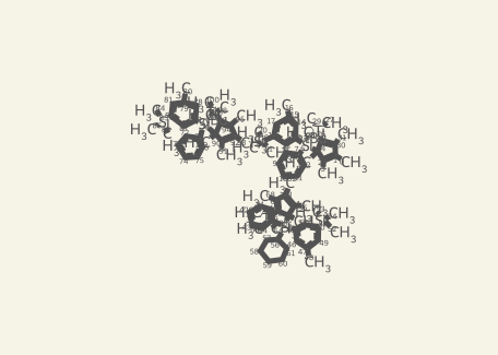 CC1=C(C)C(C)([Si](c2ccccc2)(c2cc(C)cc([Si](C)(C)C)c2)C(C)(C)C)[C]([Ti]([CH3])([CH3])[CH3])=C1C.CC1=C(C)C(C)([Si](c2ccccc2)(c2cc(C)cc([Si](C)(C)C)c2)C2CCCCC2)[C]([Ti]([CH3])([CH3])[CH3])=C1C.CCC(C)[Si](c1ccccc1)(c1cc(C)cc([Si](C)(C)C)c1)C1(C)C(C)=C(C)C(C)=[C]1[Ti]([CH3])([CH3])[CH3]